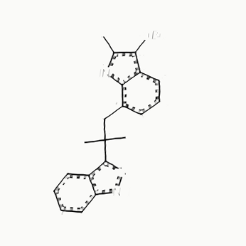 Cc1[nH]c2c(CC(C)(C)c3n[nH]c4ccccc34)cccc2c1C(C)(C)C